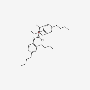 CCCCc1ccc([O][Al]([Cl])[O]c2c3cc(CCCC)cc2C(C)C(CC)C3)c(CCCC)c1